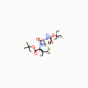 CC1=C(C(=O)OC(C)(C)C)N2C(=O)[C@@H](NC(=O)OC(C)(C)C)[C@H]2SC1